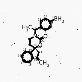 Bc1ccc([C@H](C)N2CC[C@@](CC=C)(c3ccccc3)OC2=O)cc1